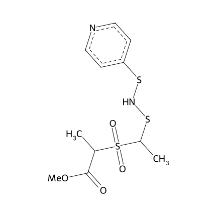 COC(=O)C(C)S(=O)(=O)C(C)SNSc1ccncc1